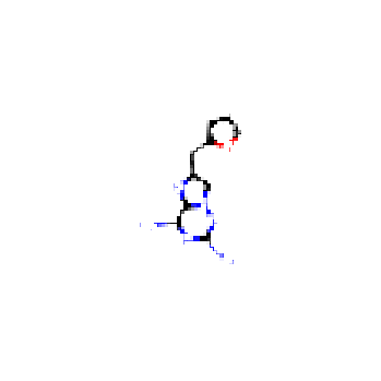 Nc1nc(N)c2nc(Cc3ccco3)cn2n1